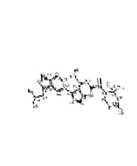 COc1nc(N[C@@H]2CCN(C)CC2(F)F)nn2ccc(-c3ccc4nnn(C[C@@H](C)F)c4c3)c12